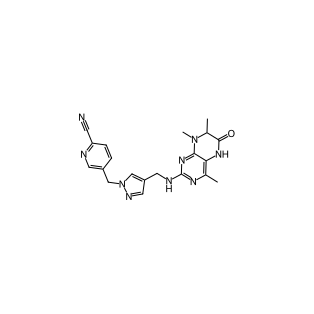 Cc1nc(NCc2cnn(Cc3ccc(C#N)nc3)c2)nc2c1NC(=O)C(C)N2C